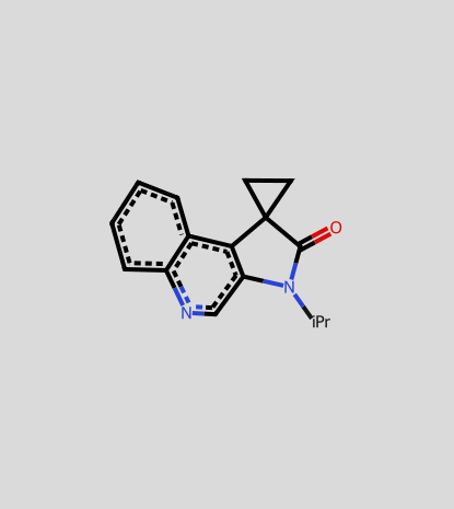 CC(C)N1C(=O)C2(CC2)c2c1cnc1ccccc21